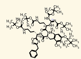 Cc1cc(O[Si](C)(C)C(C)(C)C)cc(C)c1C[C@H](NC(=O)[C@@H](CCNC(=O)OC(C)(C)C)N/C(=N\C(=O)OC(C)(C)C)NC(=O)OC(C)(C)C)C(=O)N[C@@H](CCCNC(=O)OC(C)(C)C)c1nc(Cc2ccccc2)no1